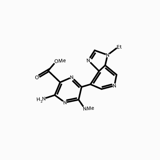 CCn1cnc2c(-c3nc(C(=O)OC)c(N)nc3NC)cncc21